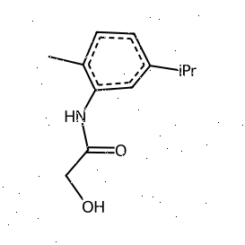 Cc1ccc(C(C)C)cc1NC(=O)CO